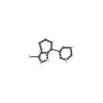 Clc1noc2c(-c3cncnc3)cccc12